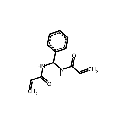 C=CC(=O)NC(NC(=O)C=C)c1ccccc1